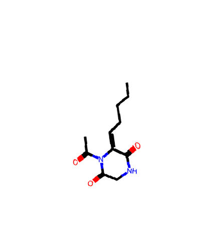 CCCCC=C1C(=O)NCC(=O)N1C(C)=O